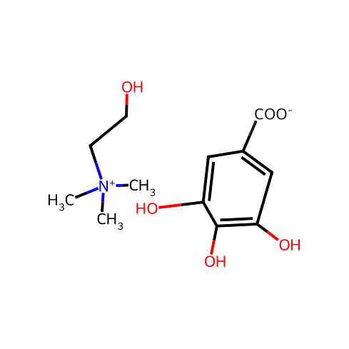 C[N+](C)(C)CCO.O=C([O-])c1cc(O)c(O)c(O)c1